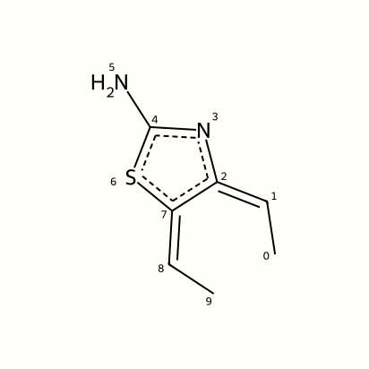 C/C=c1/nc(N)s/c1=C/C